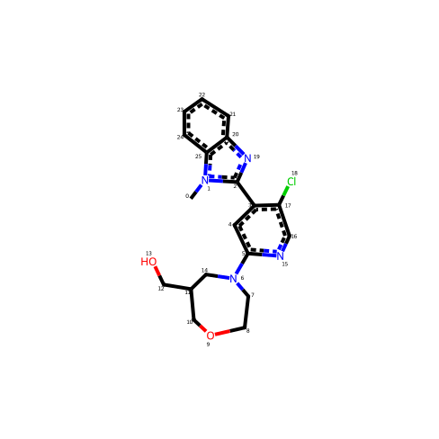 Cn1c(-c2cc(N3CCOCC(CO)C3)ncc2Cl)nc2ccccc21